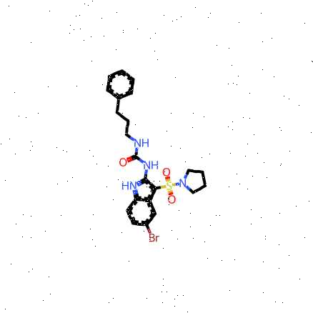 O=C(NCCCc1ccccc1)Nc1[nH]c2ccc(Br)cc2c1S(=O)(=O)N1CCCC1